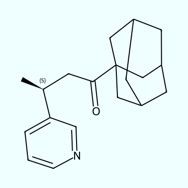 C[C@@H](CC(=O)C12CC3CC(CC(C3)C1)C2)c1cccnc1